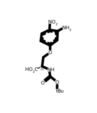 CC(C)(C)OC(=O)N[C@@H](COc1ccc([N+](=O)[O-])c(N)c1)C(=O)O